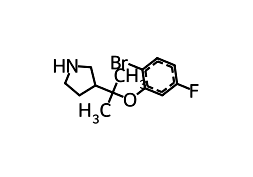 CC(C)(Oc1cc(F)ccc1Br)C1CCNC1